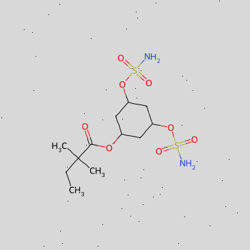 CCC(C)(C)C(=O)OC1CC(OS(N)(=O)=O)CC(OS(N)(=O)=O)C1